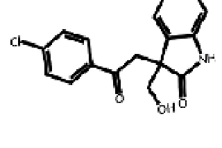 O=C(CC1(CO)C(=O)Nc2ccccc21)c1ccc(Cl)cc1